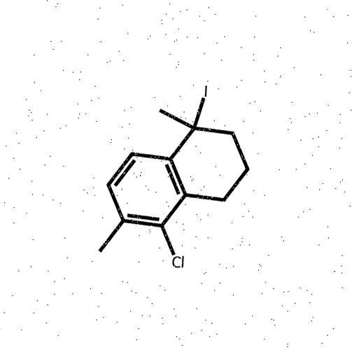 Cc1ccc2c(c1Cl)CCCC2(C)I